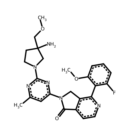 COCC1(N)CCN(c2nc(C)cc(N3Cc4c(ccnc4-c4c(F)cccc4OC)C3=O)n2)C1